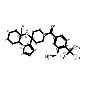 COc1cc(C(=O)N2CCC3(CC2)N[C@H]2CCCCC2n2cccc23)ccc1C(C)(C)C